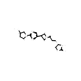 O=C1N[C@H](CCC(=O)N2CC(c3cnc(N4CCC(C(F)(F)F)C4)nc3)C2)CO1